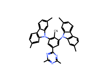 Cc1ccc2c3ccc(C)cc3n(-c3cc(-c4nc(C)nc(C)n4)cc(-n4c5cc(C)ccc5c5ccc(C)cc54)c3C#N)c2c1